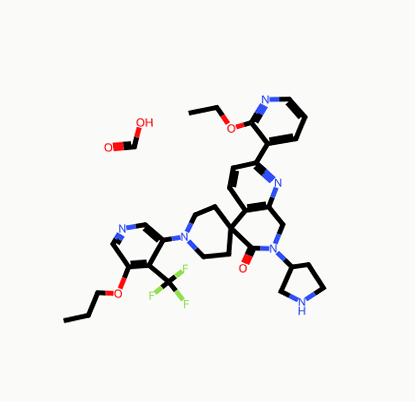 CCCOc1cncc(N2CCC3(CC2)C(=O)N(C2CCNC2)Cc2nc(-c4cccnc4OCC)ccc23)c1C(F)(F)F.O=CO